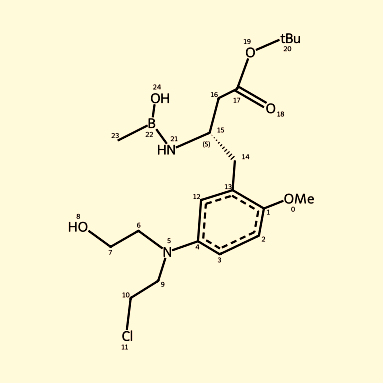 COc1ccc(N(CCO)CCCl)cc1C[C@@H](CC(=O)OC(C)(C)C)NB(C)O